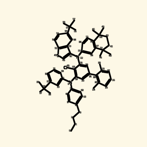 CCCCc1ccc(N(c2cccc(C(C)(C)C)c2)c2cc(-c3c(C)cccc3C)cc(N(c3ccc4c(c3)C(C)(C)CCC4(C)C)c3csc4ccc(C(C)(C)C)cc34)c2Cl)cc1